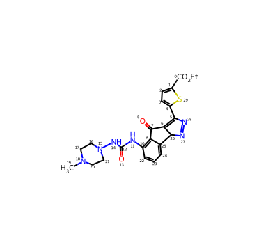 CCOC(=O)c1ccc(C2=C3C(=O)c4c(NC(=O)NN5CCN(C)CC5)cccc4C3N=N2)s1